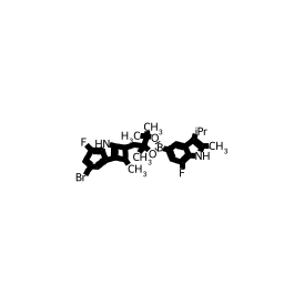 Cc1[nH]c2c(F)cc(B3OC(C)(C)C(C)(CC4c5[nH]c6c(F)cc(Br)cc6c5C4C)O3)cc2c1C(C)C